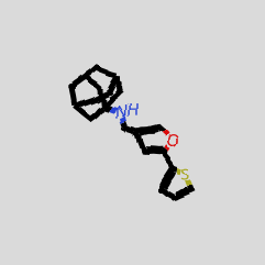 c1csc(-c2cc(CNC34CC5CC(CC(C5)C3)C4)co2)c1